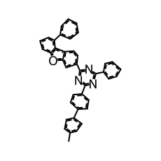 Cc1ccc(-c2ccc(-c3nc(-c4ccccc4)nc(-c4ccc5c(c4)oc4cccc(-c6ccccc6)c45)n3)cc2)cc1